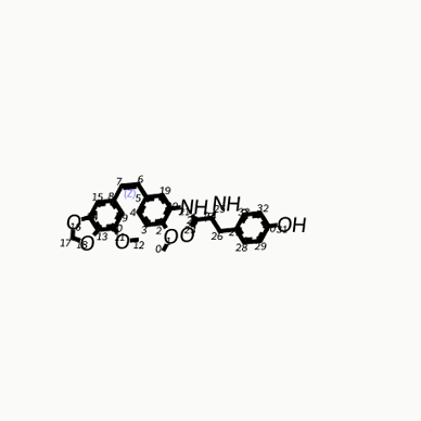 COc1ccc(/C=C\c2cc(OC)c3c(c2)OCO3)cc1NC(=O)[C@@H](N)Cc1ccc(O)cc1